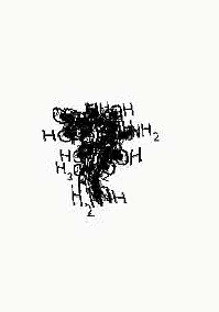 CC(C)[C@H](N)C(=O)N[C@@H](CCCNC(=N)N)C(=O)N[C@@H](CC(=O)O)C(=O)N[C@@H](Cc1ccc(O)cc1)C(=O)N[C@@H](CCCCN)C(=O)N[C@@H](CC(=O)O)C(=O)N[C@@H](CC(=O)O)C(=O)N[C@@H](CC(=O)O)C(=O)N[C@@H](CC(=O)O)C(=O)O